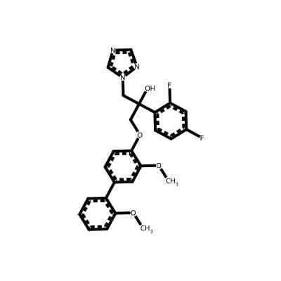 COc1cc(-c2c[c]ccc2OC)ccc1OCC(O)(Cn1cncn1)c1ccc(F)cc1F